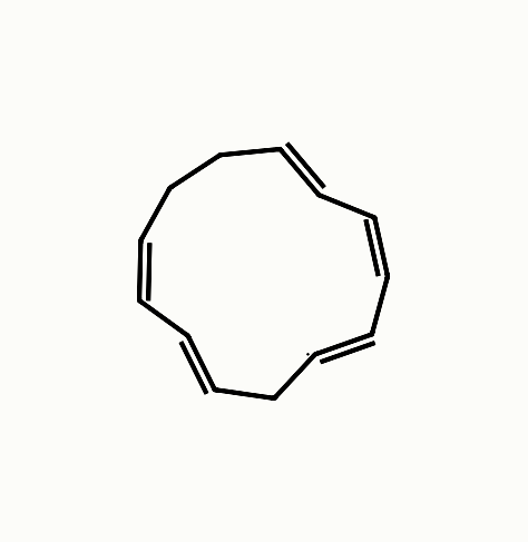 [C]1=C/C=C\C=C\CC/C=C\C=C\C/1